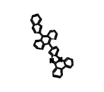 c1ccc2cc(-c3c4ccccc4c(-c4ccc5c(c4)nc4c6ccccc6c6ccccc6n54)c4ccccc34)ccc2c1